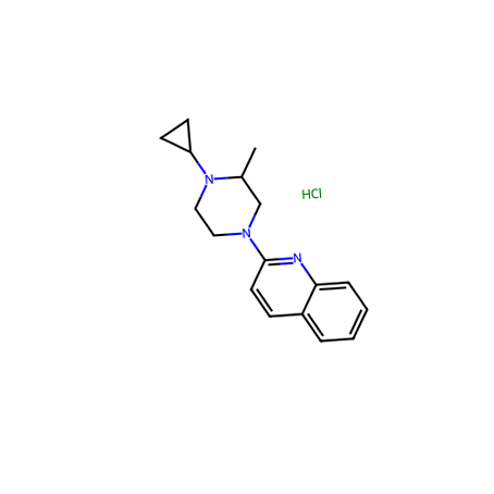 CC1CN(c2ccc3ccccc3n2)CCN1C1CC1.Cl